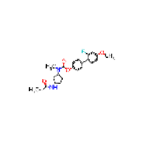 CCC(=O)N[C@H]1CC[C@@H](N(C)C(=O)Oc2ccc(-c3ccc(OC)cc3F)cc2)C1